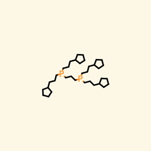 C1CCC(CCCP(CCCC2CCCC2)CCCP(CCCC2CCCC2)CCCC2CCCC2)C1